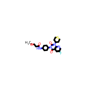 COCCC(=O)NC1CCC(n2c(=O)c3cc(F)cnc3n(C3CCSCC3)c2=O)CC1